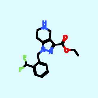 CCOC(=O)c1nn(Cc2ccccc2C(F)F)c2c1CNCC2